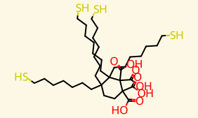 O=C(O)C1(C(=O)O)CCC(CCCCCCCS)(CCCCCCCS)C(CCCCCCCS)(CCCCCCCS)C1(C(=O)O)C(=O)O